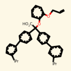 C=CCOc1ccccc1OC(C(=O)O)(c1ccc(-c2cccc(C(C)C)c2)cc1)c1ccc(-c2cccc(C(C)C)c2)cc1